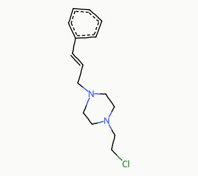 ClCCN1CCN(C/C=C/c2ccccc2)CC1